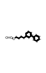 O=[C]OCCCCc1cccc(-c2ccccc2)c1